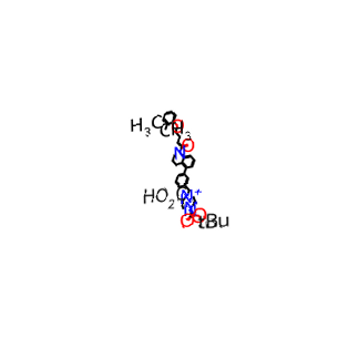 Cc1cccc(OCCCC(=O)N2CCCc3c(-c4cccc(C[N+]5(C(=O)O)CCN(C(=O)OC(C)(C)C)CC5)c4)cccc32)c1C